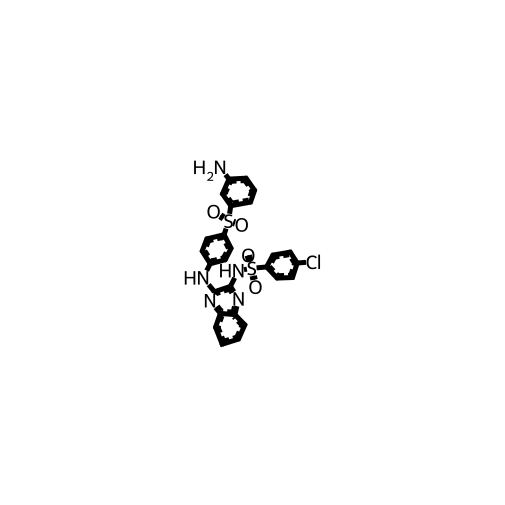 Nc1cccc(S(=O)(=O)c2ccc(Nc3nc4ccccc4nc3NS(=O)(=O)c3ccc(Cl)cc3)cc2)c1